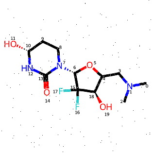 CN(C)CC1O[C@@H](N2CC[C@@H](O)NC2=O)C(F)(F)[C@@H]1O